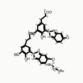 CC(C)(C)c1cc(CCC(=O)[O-])cc(-n2nc3ccc(Cl)cc3n2)c1O.CC(C)(C)c1cc(CCC(=O)[O-])cc(-n2nc3ccc(Cl)cc3n2)c1O.CCC[CH2][Sn+2][CH2]CCC